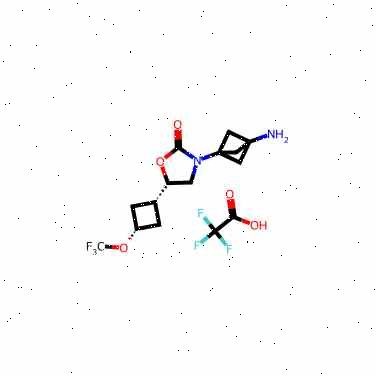 NC12CC(N3CC([C@H]4C[C@@H](OC(F)(F)F)C4)OC3=O)(C1)C2.O=C(O)C(F)(F)F